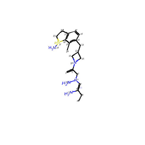 C=C(CN(N)/C=C(\N)CC)N1CC(Cc2ccc3c(c2C)[SH](N)CC3)C1